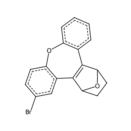 Brc1ccc2c(c1)C1=C(c3ccccc3O2)C2CCC1O2